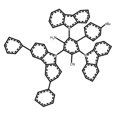 CC(C)(C)c1ccc(-c2c(-n3c4ccccc4c4ccccc43)c(N)c(-n3c4ccc(-c5ccccc5)cc4c4cc(-c5ccccc5)ccc43)c(C#N)c2-n2c3ccccc3c3ccccc32)cc1